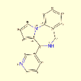 c1cncc(C2NCc3ccccc3-n3cccc32)c1